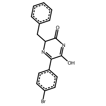 O=C1N=C(O)C(c2ccc(Br)cc2)=NC1Cc1ccccc1